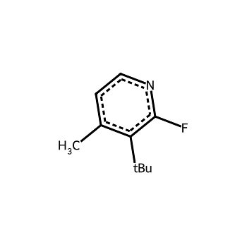 Cc1ccnc(F)c1C(C)(C)C